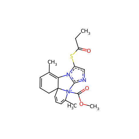 CCC(=O)Sc1cnc2n1C1=C(C)C=CCC13C=CC=C(C)[N+]23C(=O)OC